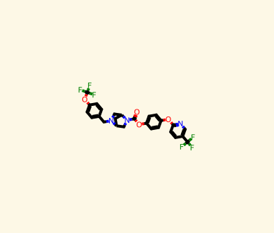 O=C(Oc1ccc(Oc2ccc(C(F)(F)F)cn2)cc1)N1CC2CC1CN2Cc1ccc(OC(F)(F)F)cc1